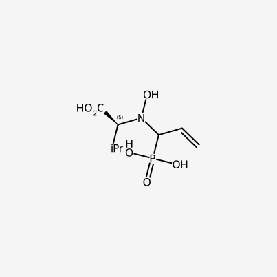 C=CC(N(O)[C@H](C(=O)O)C(C)C)P(=O)(O)O